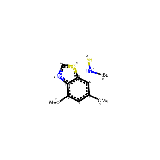 CC(C)(C)NS.COc1cc(OC)c2ncsc2c1